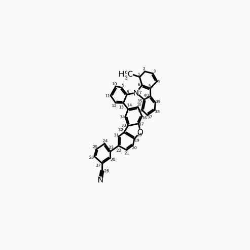 CC1CC=Cc2c1n(-c1ccccc1-c1ccc3oc4ccc(-c5cccc(C#N)c5)cc4c3c1)c1ccccc21